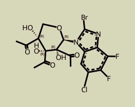 CC(=O)[C@@]1(O)[C@@](O)(C(C)=O)CO[C@@H](n2c(Br)nc3c(F)c(F)c(Cl)cc32)[C@@]1(O)C(C)=O